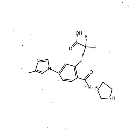 Cc1cn(-c2ccc(C(=O)N[C@@H]3CCNC3)c(F)c2)cn1.O=C(O)C(F)(F)F